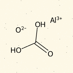 O=C(O)O.[Al+3].[O-2]